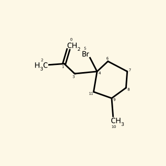 C=C(C)CC1(Br)CCCC(C)C1